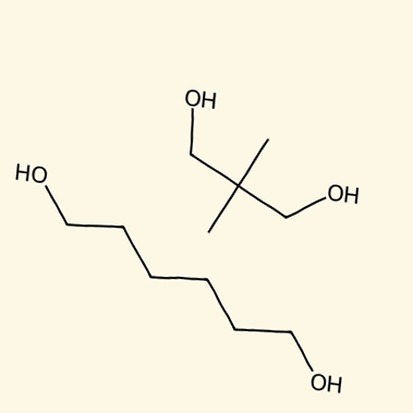 CC(C)(CO)CO.OCCCCCCO